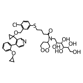 O=C(CCCSc1ccc(Cl)c(COC2(c3cnccc3-c3ccccc3OC3CC3)CC2)c1)N(C[C@H](O)[C@@H](O)[C@H](O)[C@H](O)CO)C1CCOOC1